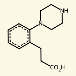 O=C(O)CCc1ccccc1N1CCNCC1